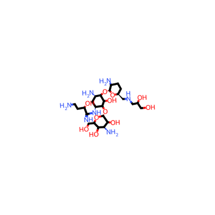 N=C(N[C@@H]1C[C@H](N)C(O[C@H]2O[C@H](CNCC(O)CO)CCC2N)C(O)C1O[C@H]1OC(CO)C(O)[C@H](N)C1O)C(O)CCN